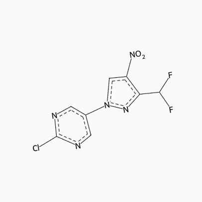 O=[N+]([O-])c1cn(-c2cnc(Cl)nc2)nc1C(F)F